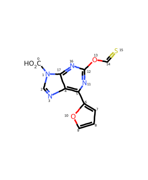 O=C(O)n1cnc2c(-c3ccco3)nc(OC=S)nc21